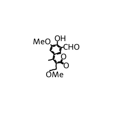 COCCc1c(C)c2cc(OC)c(O)c(C=O)c2oc1=O